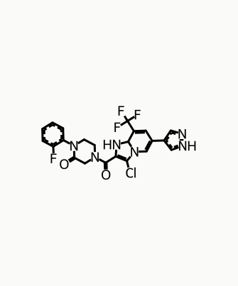 O=C(C1=C(Cl)N2C=C(c3cn[nH]c3)C=C(C(F)(F)F)C2N1)N1CCN(c2ccccc2F)C(=O)C1